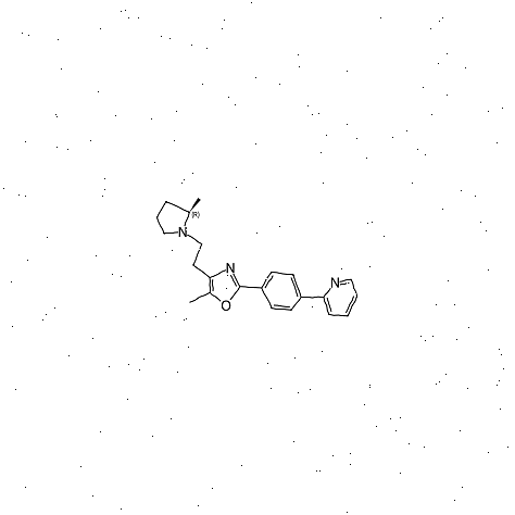 Cc1oc(-c2ccc(-c3ccccn3)cc2)nc1CCN1CCC[C@H]1C